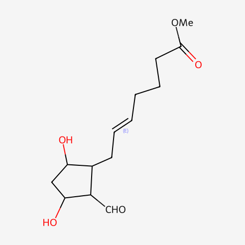 COC(=O)CCC/C=C/CC1C(O)CC(O)C1C=O